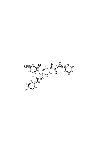 O=C(Nc1ccc(S(=O)(=O)N(Cc2ccc(F)cc2)Cc2cc(Cl)cc(Cl)c2)cc1)C1CC1c1ccncc1